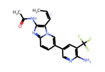 C/C=C\c1c(NC(C)=O)nc2ccc(-c3cnc(N)c(C(F)(F)F)c3)cn12